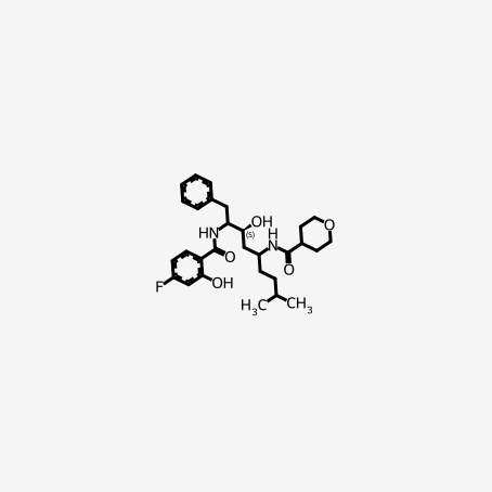 CC(C)CCC(C[C@H](O)C(Cc1ccccc1)NC(=O)c1ccc(F)cc1O)NC(=O)C1CCOCC1